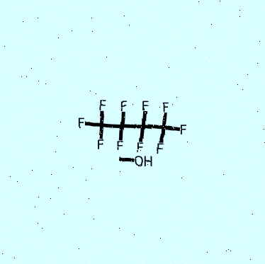 CO.FC(F)(F)C(F)(F)C(F)(F)C(F)(F)F